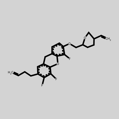 C=CCCc1cc2c(c(F)c1F)Oc1c(ccc(OCC3CCC(C=C)CO3)c1F)C2